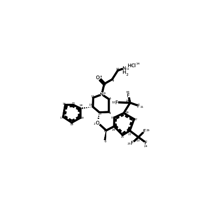 C[C@@H](O[C@H]1CCN(C(=O)CCN)C[C@H]1c1ccccc1)c1cc(C(F)(F)F)cc(C(F)(F)F)c1.Cl